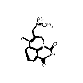 CN(C)CC1=C(Cl)c2cccc3c(=O)[nH]c(=O)n(c23)C1